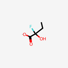 CCC(O)(F)C([O])=O